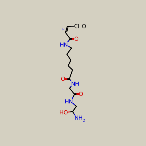 NC(O)CNC(=O)CNC(=O)CCCCCNC(=O)/C=C\C=O